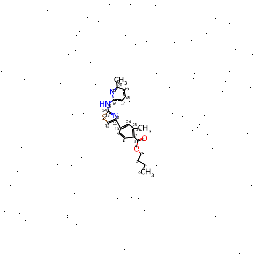 CCCCOC(=O)c1ccc(-c2csc(Nc3cccc(C)n3)n2)cc1C